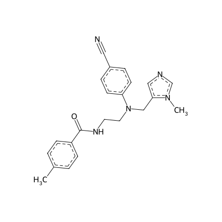 Cc1ccc(C(=O)NCCN(Cc2cncn2C)c2ccc(C#N)cc2)cc1